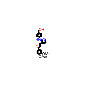 COc1ccc(C(=O)/C=C/c2cccnc2Nc2ccc(CO)cc2)cc1OC